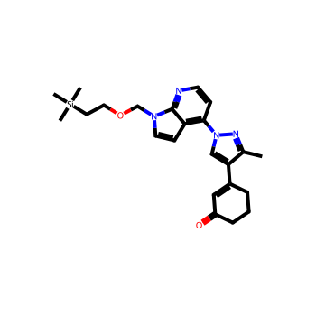 Cc1nn(-c2ccnc3c2ccn3COCC[Si](C)(C)C)cc1C1=CC(=O)CCC1